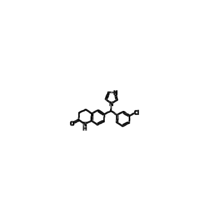 O=C1CCc2cc(C(c3cccc(Cl)c3)n3ccnc3)ccc2N1